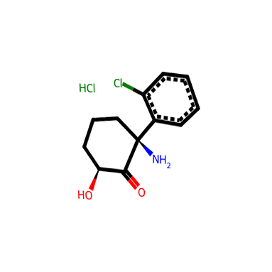 Cl.N[C@]1(c2ccccc2Cl)CCC[C@H](O)C1=O